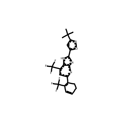 CC(C)(C)c1cc(-c2nc3nc(C4=C(C(F)(F)F)C=CCC4)cc(C(F)(F)F)c3[nH]2)on1